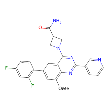 COc1cc(-c2ccc(F)cc2F)cc2c(N3CC(C(N)=O)C3)nc(-c3cccnc3)nc12